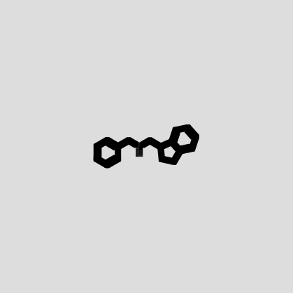 c1ccc(CNCC2CCc3ccccc32)cc1